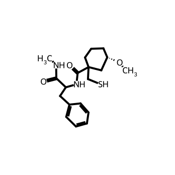 CNC(=O)C(Cc1ccccc1)NC(=O)C1(CS)CCC[C@H](OC)C1